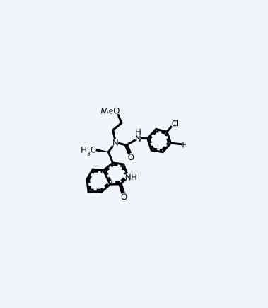 COCCN(C(=O)Nc1ccc(F)c(Cl)c1)[C@H](C)c1c[nH]c(=O)c2ccccc12